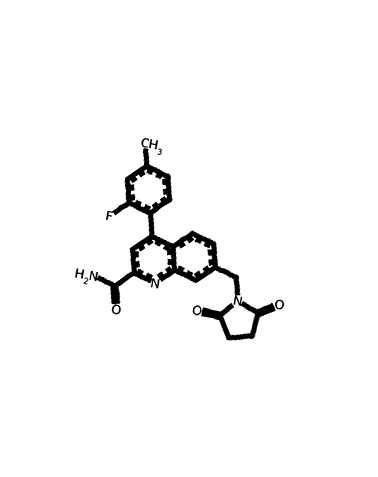 Cc1ccc(-c2cc(C(N)=O)nc3cc(CN4C(=O)CCC4=O)ccc23)c(F)c1